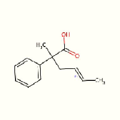 C/C=C/CC(C)(C(=O)O)c1ccccc1